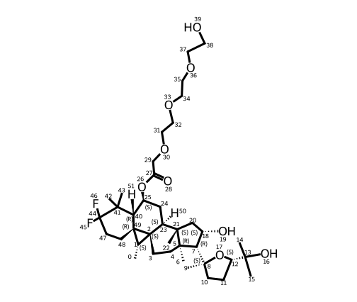 C[C@H]1[C@@]23CC[C@]4(C)[C@@H]([C@]5(C)CC[C@@H](C(C)(C)O)O5)[C@@H](O)C[C@@]4(C)[C@@H]2C[C@H](OC(=O)COCCOCCOCCO)[C@H]2C(C)(C)C(F)(F)CC[C@@]123